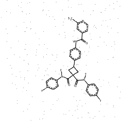 O=C(Nc1ccc(C2CC(C(=O)N(F)c3ccc(F)cc3)(C(=O)N(F)c3ccc(F)cc3)C2)cc1)c1ccnc(C(F)(F)F)c1